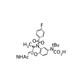 CC(=O)NC[C@@H]1Oc2ccc(N(C(=O)O)C(C)(C)C)cc2N(S(=O)(=O)c2ccc(F)cc2)[C@@H]1C